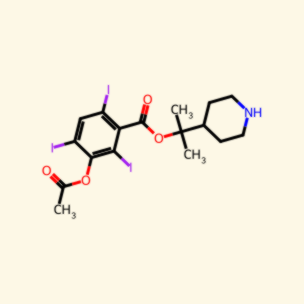 CC(=O)Oc1c(I)cc(I)c(C(=O)OC(C)(C)C2CCNCC2)c1I